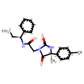 CCOC(=O)C[C@H](NC(=O)CN1C(=O)N[C@@](C)(c2ccc(C#N)cc2)C1=O)c1ccccc1